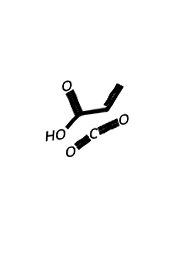 C=CC(=O)O.O=C=O